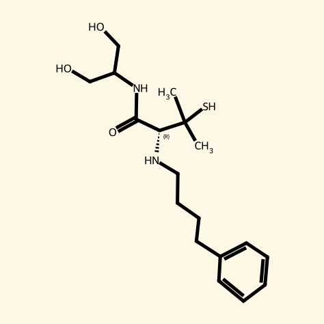 CC(C)(S)[C@H](NCCCCc1ccccc1)C(=O)NC(CO)CO